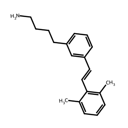 Cc1cccc(C)c1C=Cc1cccc(CCCCN)c1